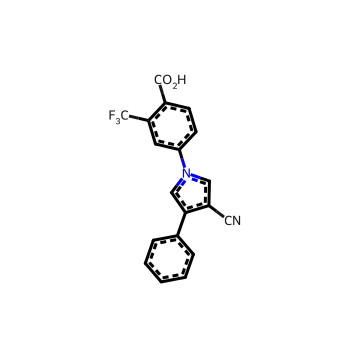 N#Cc1cn(-c2ccc(C(=O)O)c(C(F)(F)F)c2)cc1-c1ccccc1